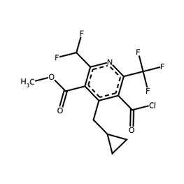 COC(=O)c1c(C(F)F)nc(C(F)(F)F)c(C(=O)Cl)c1CC1CC1